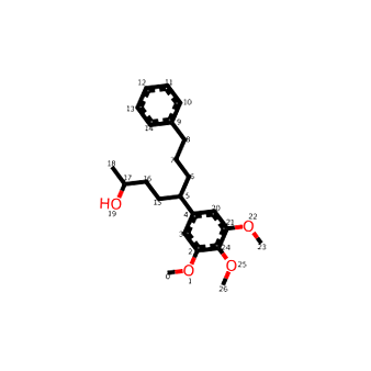 COc1cc(C(CCCc2ccccc2)CCC(C)O)cc(OC)c1OC